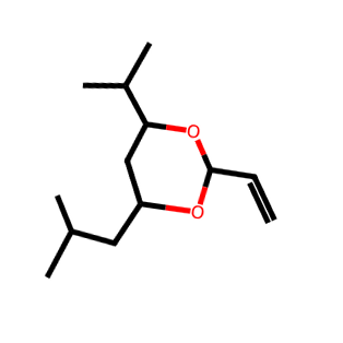 C=CC1OC(CC(C)C)CC(C(C)C)O1